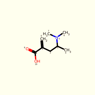 C=C(CC(C)N(C)C)C(=O)O